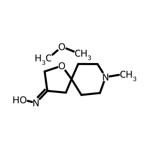 CN1CCC2(CC1)CC(=NO)CO2.COC